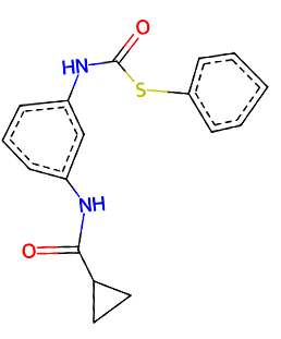 O=C(Nc1cccc(NC(=O)C2CC2)c1)Sc1ccccc1